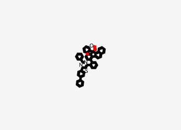 c1ccc(-c2ccc3c(c2)sc2c(-c4ccccc4-c4cccc5c4-c4ccc6ccccc6c4C54c5ccccc5Oc5ccccc54)nc(-c4ccccc4)nc23)cc1